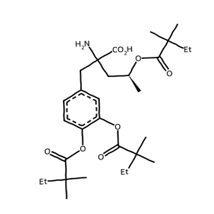 CCC(C)(C)C(=O)Oc1ccc(CC(N)(C[C@H](C)OC(=O)C(C)(C)CC)C(=O)O)cc1OC(=O)C(C)(C)CC